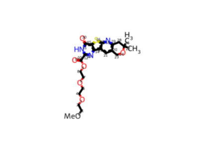 COCCOCCOCCOC(=O)c1nc2c(sc3nc4c(cc32)COC(C)(C)C4)c(=O)[nH]1